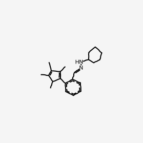 CC1=C(C)C(C)C(c2ccccc2C=NNC2CCCCC2)=C1C